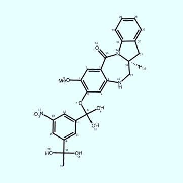 COc1cc2c(cc1OC(O)(O)c1cc([N+](=O)[O-])cc(C(C)(O)O)c1)NC[C@@H]1Cc3ccccc3N1C2=O